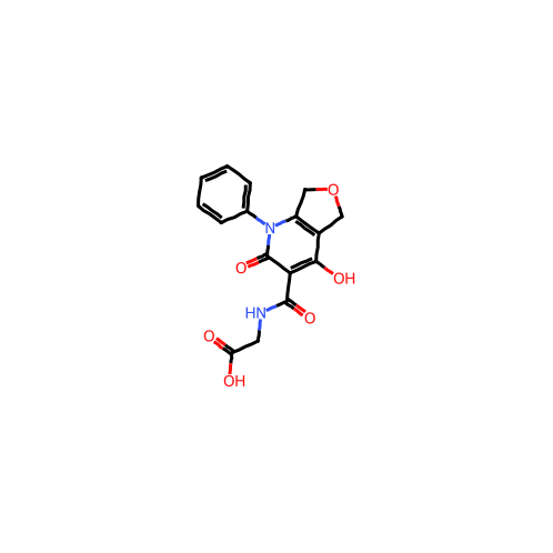 O=C(O)CNC(=O)c1c(O)c2c(n(-c3ccccc3)c1=O)COC2